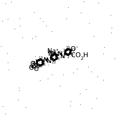 O=C(O)c1cc(N=Nc2ccc(N=Nc3ccc(S(=O)(=O)[O-])cc3)cc2)ccc1[O-].[Na+].[Na+]